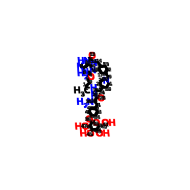 CCCCOc1nc(N)c2[nH]c(=O)n(Cc3ccc(CN4CCC(CCNC(=O)[C@@H](N)Cc5ccc(O[C@@H]6O[C@H](CO)[C@@H](O)[C@H](O)[C@H]6O)cc5)CC4)cc3)c2n1